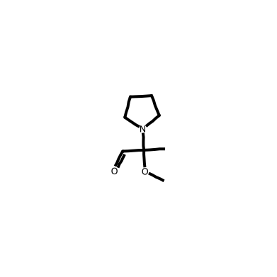 COC(C)(C=O)N1CCCC1